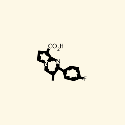 Cc1cn2ccc(C(=O)O)c2nc1-c1ccc(F)cc1